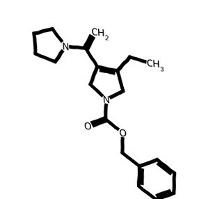 C=C(C1=C(CC)CN(C(=O)OCc2ccccc2)C1)N1CCCC1